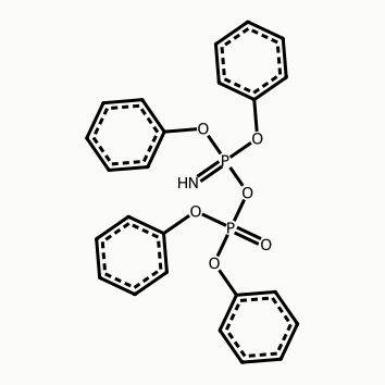 N=P(Oc1ccccc1)(Oc1ccccc1)OP(=O)(Oc1ccccc1)Oc1ccccc1